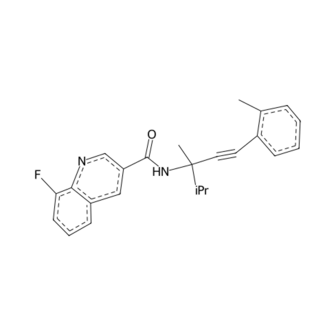 Cc1ccccc1C#CC(C)(NC(=O)c1cnc2c(F)cccc2c1)C(C)C